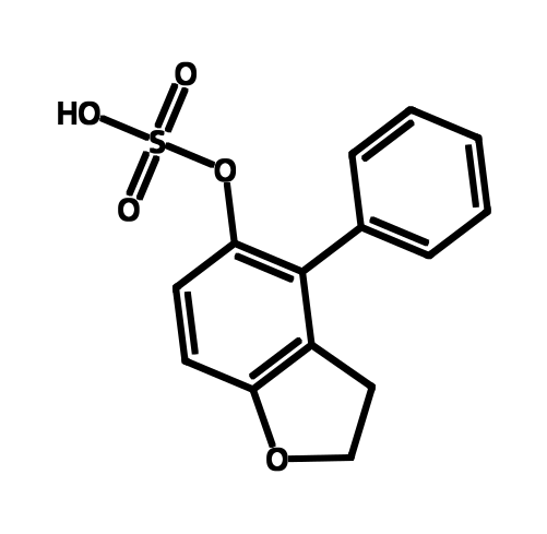 O=S(=O)(O)Oc1ccc2c(c1-c1ccccc1)CCO2